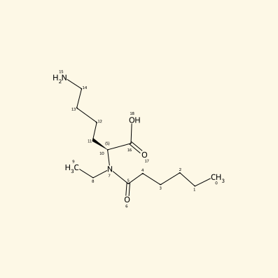 CCCCCC(=O)N(CC)[C@@H](CCCCN)C(=O)O